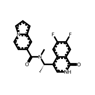 C[C@@H](c1c[nH]c(=O)c2cc(F)c(F)cc12)N(C)C(=O)c1ccn2cccc2c1